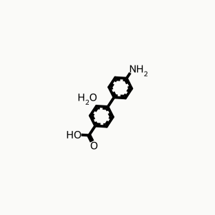 Nc1ccc(-c2ccc(C(=O)O)cc2)cc1.O